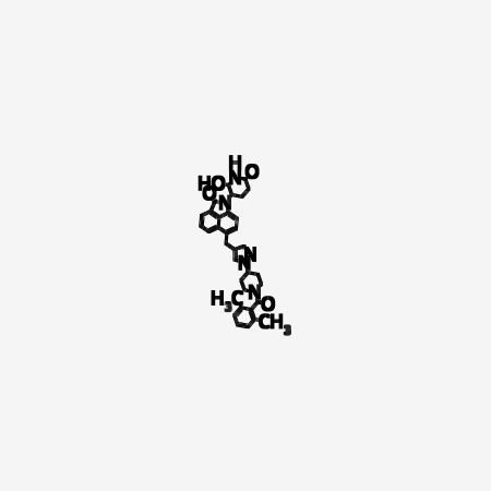 Cc1cccc(C)c1C(=O)N1CCC(n2cc(Cc3ccc4c5c(cccc35)C(=O)N4C3CCC(=O)NC3O)cn2)CC1